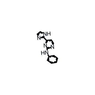 c1ccc(Nc2nccc(-c3ncc[nH]3)n2)cc1